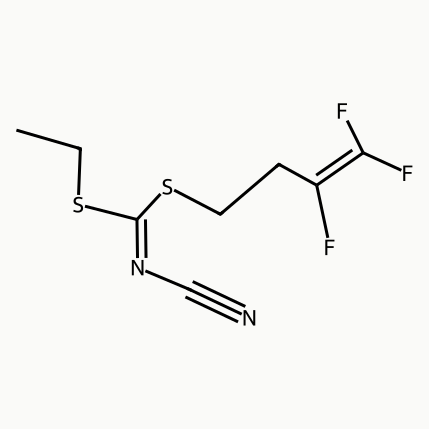 CCSC(=NC#N)SCCC(F)=C(F)F